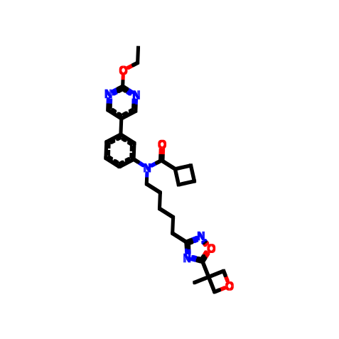 CCOc1ncc(-c2cccc(N(CCCCCc3noc(C4(C)COC4)n3)C(=O)C3CCC3)c2)cn1